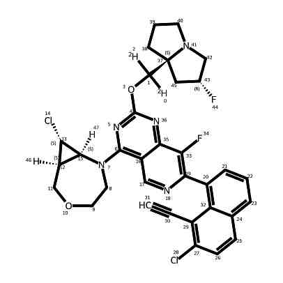 [2H]C([2H])(Oc1nc(N2CCOC[C@H]3[C@H](Cl)[C@H]32)c2cnc(-c3cccc4ccc(Cl)c(C#C)c34)c(F)c2n1)[C@@]12CCCN1C[C@H](F)C2